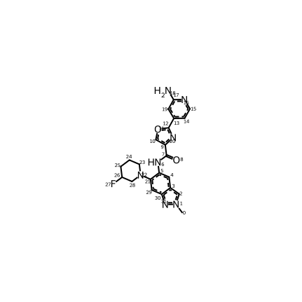 Cn1cc2cc(NC(=O)c3coc(-c4ccnc(N)c4)n3)c(N3CCCC(F)C3)cc2n1